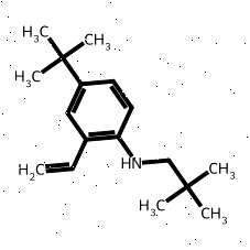 C=Cc1cc(C(C)(C)C)ccc1NCC(C)(C)C